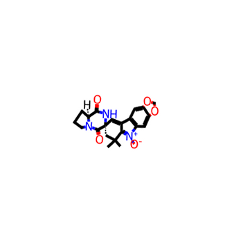 CC1(C)C[C@@]2(C=C3C1=[N+]([O-])c1cc4c(cc13)OCO4)NC(=O)[C@@H]1CCCN1C2=O